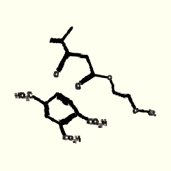 C=C(C)C(=O)CC(=O)OCCOCC.O=C(O)c1ccc(C(=O)O)c(C(=O)O)c1